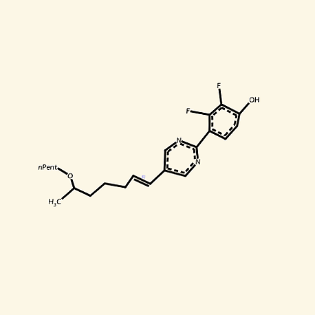 CCCCCOC(C)CCC/C=C/c1cnc(-c2ccc(O)c(F)c2F)nc1